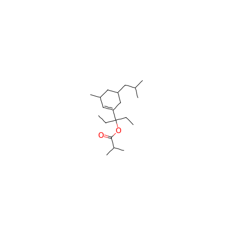 CCC(CC)(OC(=O)C(C)C)C1=CC(C)CC(CC(C)C)C1